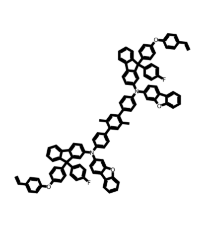 C=Cc1ccc(Oc2ccc(C3(c4ccc(F)cc4)c4ccccc4-c4ccc(N(c5ccc(-c6cc(C)c(-c7ccc(N(c8ccc9c(c8)C(c8ccc(F)cc8)(c8ccc(Oc%10ccc(C=C)cc%10)cc8)c8ccccc8-9)c8ccc9c(c8)oc8ccccc89)cc7)cc6C)cc5)c5ccc6c(c5)oc5ccccc56)cc43)cc2)cc1